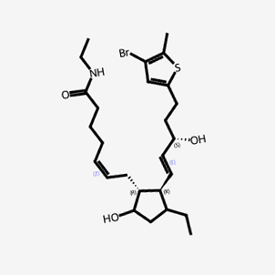 CCNC(=O)CCC/C=C\C[C@H]1C(O)CC(CC)[C@@H]1/C=C/[C@@H](O)CCc1cc(Br)c(C)s1